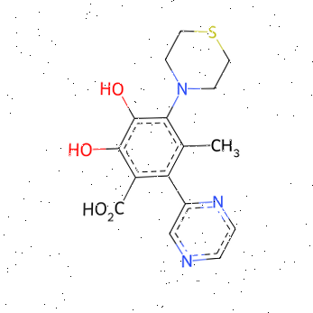 Cc1c(-c2cnccn2)c(C(=O)O)c(O)c(O)c1N1CCSCC1